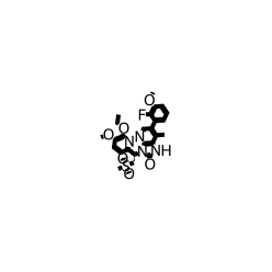 CCOc1nc([C@@H](CS(C)(=O)=O)n2c(=O)[nH]c3c(C)c(-c4cccc(OC)c4F)cnc32)ccc1OC